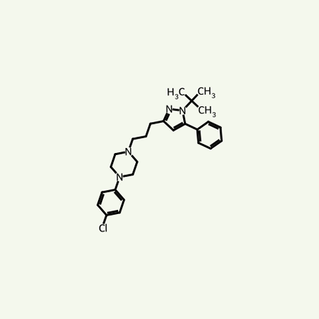 CC(C)(C)n1nc(CCCN2CCN(c3ccc(Cl)cc3)CC2)cc1-c1ccccc1